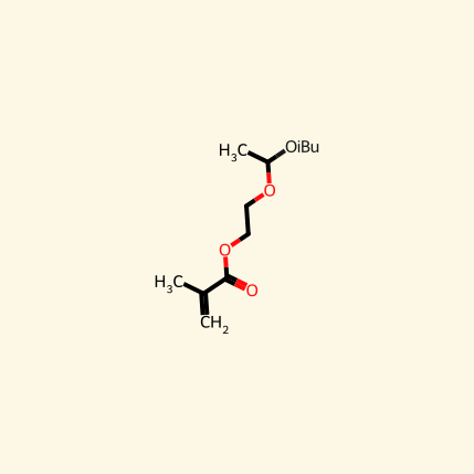 C=C(C)C(=O)OCCOC(C)OCC(C)C